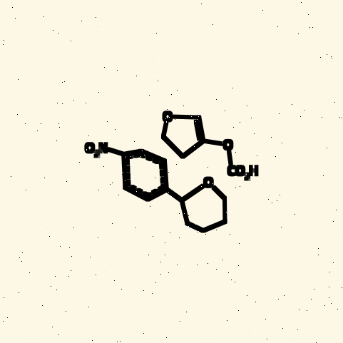 O=C(O)OC1=COCC1.O=[N+]([O-])c1ccc(C2CCCCO2)cc1